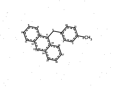 Cc1ccc(Cc2c3ccccc3nc3ccccc23)cc1